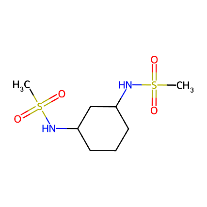 CS(=O)(=O)NC1CCCC(NS(C)(=O)=O)C1